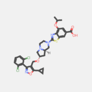 CC(C)Oc1cc(C(=O)O)cc2sc(N3CCN4C[C@@H](OCc5c(-c6c(Cl)cccc6Cl)noc5C5CC5)C[C@@H]4C3)nc12